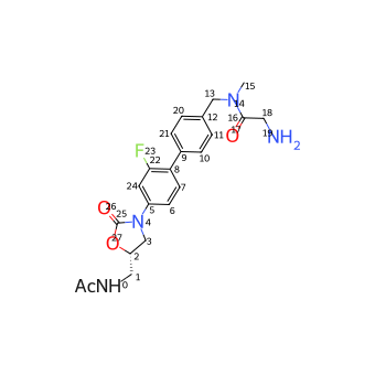 CC(=O)NC[C@H]1CN(c2ccc(-c3ccc(CN(C)C(=O)CN)cc3)c(F)c2)C(=O)O1